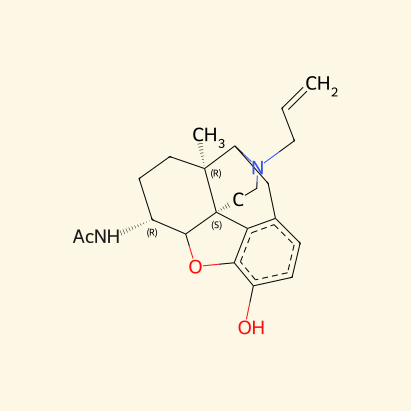 C=CCN1CC[C@]23c4c5ccc(O)c4OC2[C@H](NC(C)=O)CC[C@@]3(C)C1C5